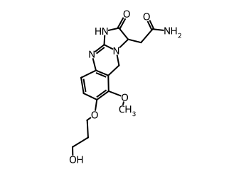 COc1c(OCCCO)ccc2c1CN1C(=N2)NC(=O)C1CC(N)=O